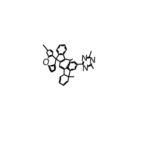 Cc1nc(C)nc(-c2cccc(C3(C)C=CC=CC3C3=CC4=C(c5ccccc5C45C4=C(CC(C)C=C4)Oc4ccccc45)C(C)C3)c2)n1